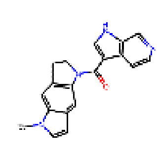 CCn1ccc2cc3c(cc21)CCN3C(=O)c1c[nH]c2cnccc12